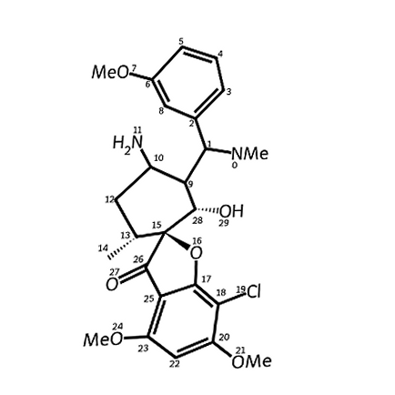 CNC(c1cccc(OC)c1)C1C(N)C[C@@H](C)[C@]2(Oc3c(Cl)c(OC)cc(OC)c3C2=O)[C@H]1O